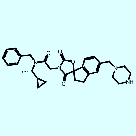 C[C@@H](C1CC1)N(Cc1ccccc1)C(=O)CN1C(=O)OC2(CCc3cc(CN4CCNCC4)ccc32)C1=O